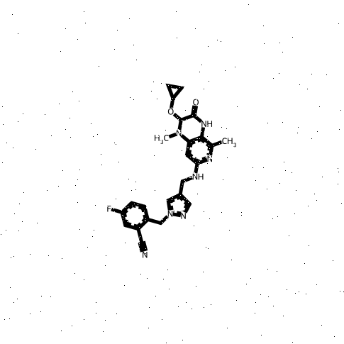 Cc1nc(NCc2cnn(Cc3ccc(F)cc3C#N)c2)cc2c1NC(=O)C(OC1CC1)N2C